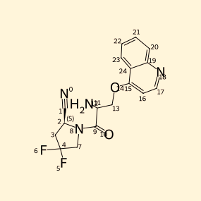 N#C[C@@H]1CC(F)(F)CN1C(=O)C(N)COc1ccnc2ccccc12